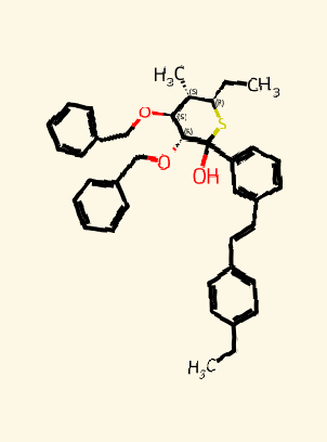 CCc1ccc(C=Cc2cccc(C3(O)S[C@H](CC)[C@@H](C)[C@H](OCc4ccccc4)[C@H]3OCc3ccccc3)c2)cc1